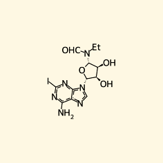 CCN(C=O)[C@H]1O[C@@H](n2cnc3c(N)nc(I)nc32)[C@H](O)[C@@H]1O